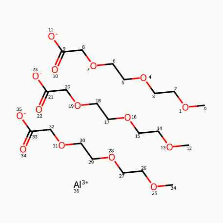 COCCOCCOCC(=O)[O-].COCCOCCOCC(=O)[O-].COCCOCCOCC(=O)[O-].[Al+3]